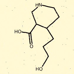 O=C(O)C1CNCCC1CCCO